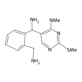 CNc1nc(SC)ncc1C(N)c1ccccc1CN